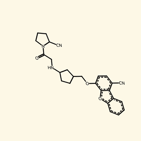 N#Cc1ccc(OCC2CCC(NCC(=O)N3CCCC3C#N)C2)c2oc3ccccc3c12